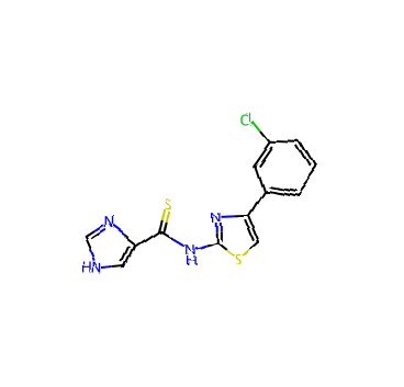 S=C(Nc1nc(-c2cccc(Cl)c2)cs1)c1c[nH]cn1